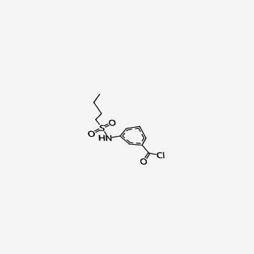 CCCCS(=O)(=O)Nc1cccc(C(=O)Cl)c1